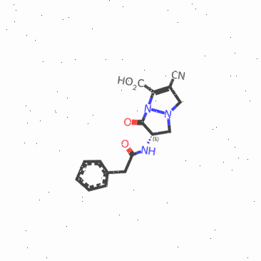 N#CC1=C(C(=O)O)N2C(=O)[C@@H](NC(=O)Cc3ccccc3)CN2C1